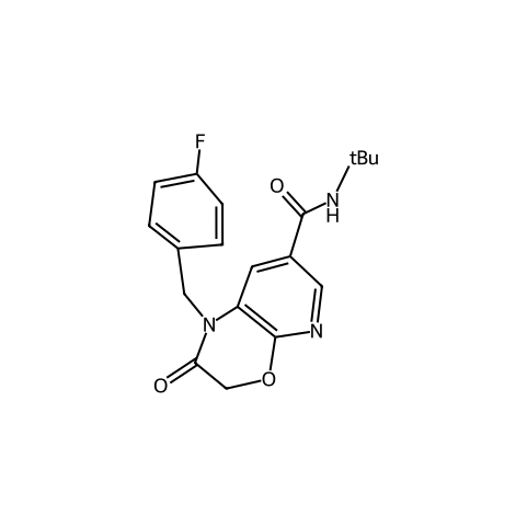 CC(C)(C)NC(=O)c1cnc2c(c1)N(Cc1ccc(F)cc1)C(=O)CO2